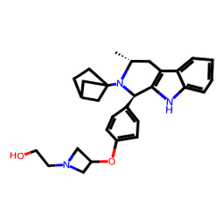 C[C@@H]1Cc2c([nH]c3ccccc23)[C@@H](c2ccc(OC3CN(CCO)C3)cc2)N1C12CCC(C1)C2